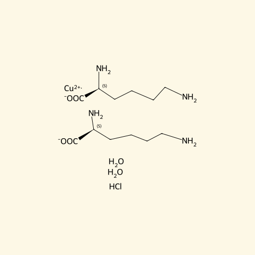 Cl.NCCCC[C@H](N)C(=O)[O-].NCCCC[C@H](N)C(=O)[O-].O.O.[Cu+2]